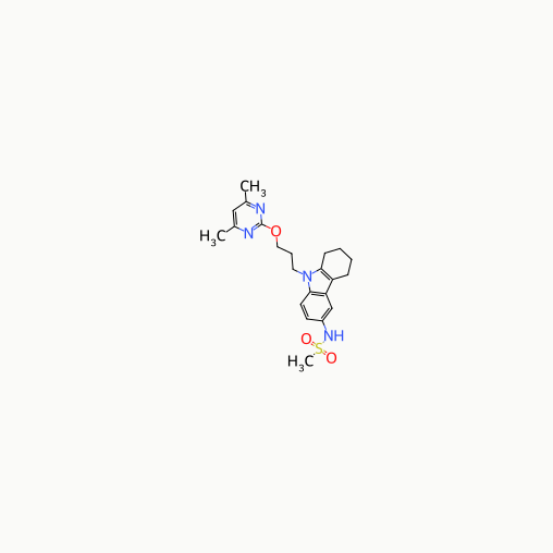 Cc1cc(C)nc(OCCCn2c3c(c4cc(NS(C)(=O)=O)ccc42)CCCC3)n1